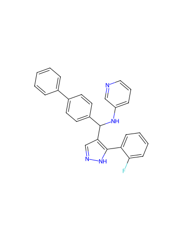 Fc1ccccc1-c1[nH]ncc1C(Nc1cccnc1)c1ccc(-c2ccccc2)cc1